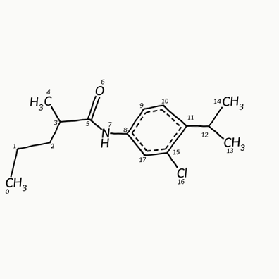 CCCC(C)C(=O)Nc1ccc(C(C)C)c(Cl)c1